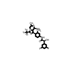 [2H]C([2H])([2H])c1nc(-c2ccc(NC(=O)C(O)c3cc(F)cc(F)c3)cc2C)c2c(N)nc(C)cn12